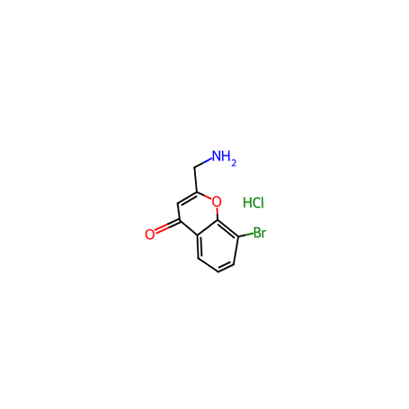 Cl.NCc1cc(=O)c2cccc(Br)c2o1